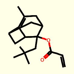 C=CC(=O)OC1(CC(C)(C)C)C2CC(C)=C3C(C2)CC31